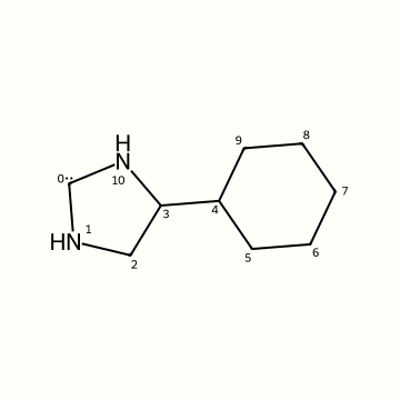 [C]1NCC(C2CCCCC2)N1